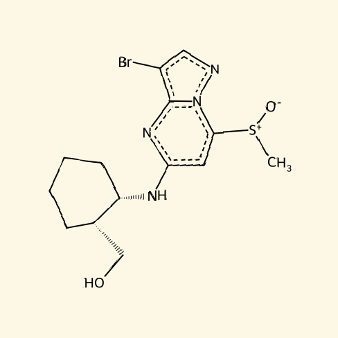 C[S+]([O-])c1cc(N[C@H]2CCCC[C@H]2CO)nc2c(Br)cnn12